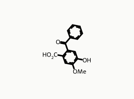 COc1cc(C(=O)O)c(C(=O)c2ccccc2)cc1O